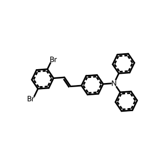 Brc1ccc(Br)c(C=Cc2ccc(N(c3ccccc3)c3ccccc3)cc2)c1